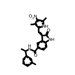 Cc1cccc(C(C)NC(=O)c2ccc3c(c2)/C(=C/c2[nH]c(C)c([N+](=O)[O-])c2C)C(=O)N3)c1